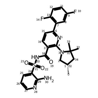 C[C@@H]1CN(c2nc(-c3cc(F)ccc3F)ccc2C(=O)NS(=O)(=O)c2cccnc2N)C(C)(C)C1